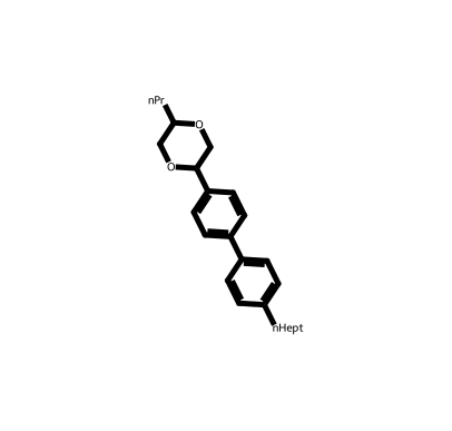 CCCCCCCc1ccc(-c2ccc(C3COC(CCC)CO3)cc2)cc1